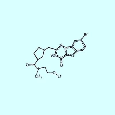 CCOCCN(C)C(=O)C1CCN(Cc2nc3c(oc4ccc(Br)cc43)c(=O)[nH]2)C1